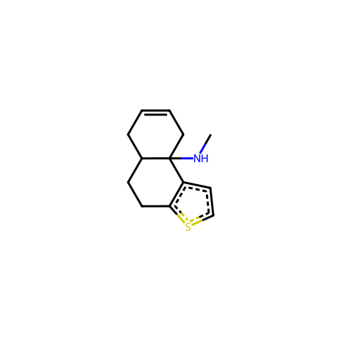 CNC12CC=CCC1CCc1sccc12